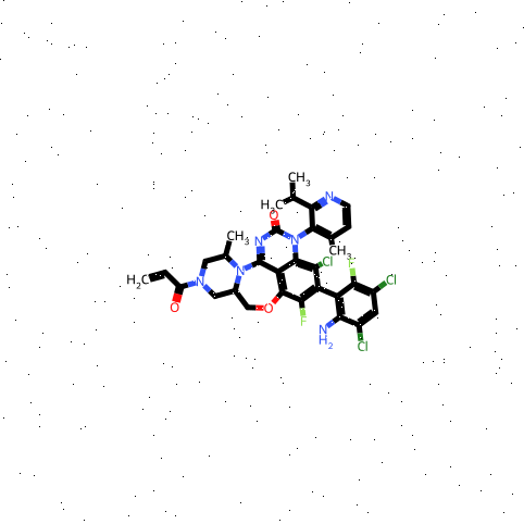 C=CC(=O)N1CC(C)N2c3nc(=O)n(-c4c(C)ccnc4C(C)C)c4c(Cl)c(-c5c(N)c(Cl)cc(Cl)c5F)c(F)c(c34)OCC2C1